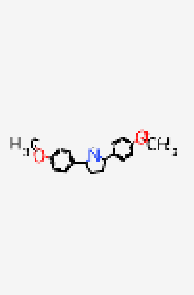 COc1ccc(C2CCC(c3ccc(OC)cc3)[N]2)cc1